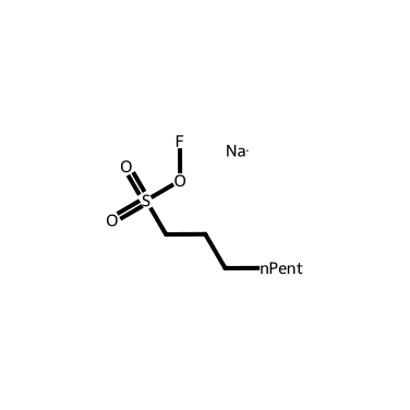 CCCCCCCCS(=O)(=O)OF.[Na]